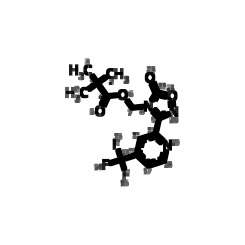 CC(C)(C)C(=O)OCn1c(-c2cc(C(F)(F)F)ccn2)noc1=O